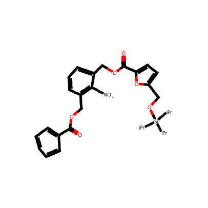 CC(C)[Si](OCc1ccc(C(=O)OCc2cccc(COC(=O)c3ccccc3)c2[N+](=O)[O-])o1)(C(C)C)C(C)C